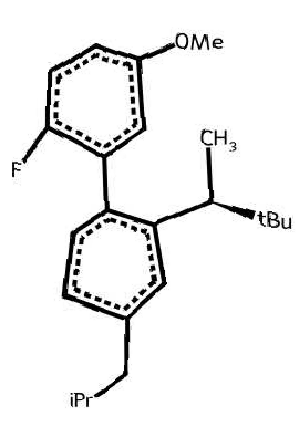 COc1ccc(F)c(-c2ccc(CC(C)C)cc2[C@@H](C)C(C)(C)C)c1